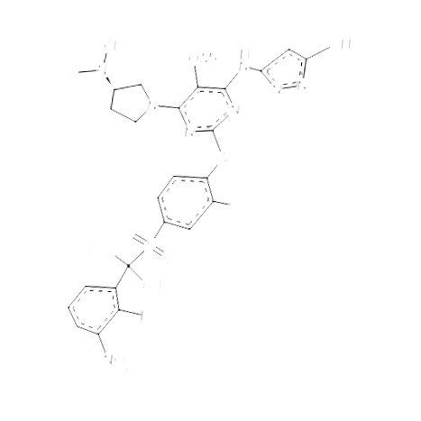 COc1c(Nc2cc(C)[nH]n2)nc(Sc2ccc(S(=O)(=O)C(C)(C)c3cccc([N+](=O)[O-])c3F)cc2F)nc1N1CC[C@@H](N(C)C)C1